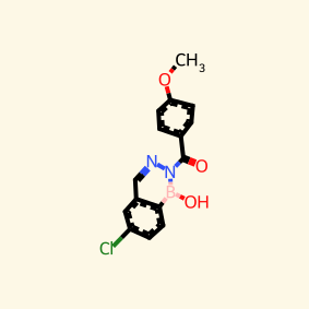 COc1ccc(C(=O)N2N=Cc3cc(Cl)ccc3B2O)cc1